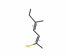 CC/C(C)=C/C=C(/C)S